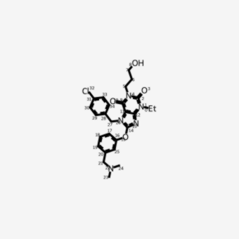 CCn1c(=O)n(CCCO)c(=O)c2c1nc(Oc1cccc(CN(C)C)c1)n2Cc1ccc(Cl)cc1